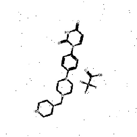 O=C(O)C(F)(F)F.O=c1ccn(-c2ccc(N3CCN(CC4CCNCC4)CC3)cc2)c(=O)[nH]1